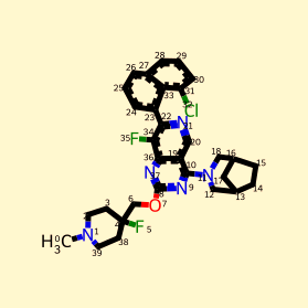 CN1CCC(F)(COc2nc(N3CC4CCC(C4)C3)c3cnc(-c4cccc5cccc(Cl)c45)c(F)c3n2)CC1